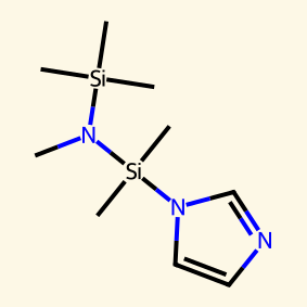 CN([Si](C)(C)C)[Si](C)(C)n1ccnc1